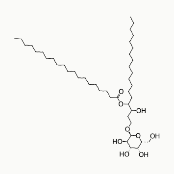 CCCCCCCCCCCCCCCCCCCC(=O)OC(CCCCCCCCCCCCCC)C(O)CCO[C@H]1O[C@H](CO)[C@H](O)[C@H](O)[C@H]1O